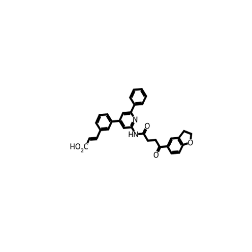 O=C(O)C=Cc1cccc(-c2cc(NC(=O)CCC(=O)c3ccc4c(c3)CCO4)nc(-c3ccccc3)c2)c1